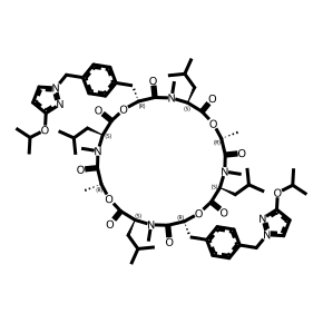 CC(C)C[C@H]1C(=O)O[C@H](Cc2ccc(Cn3ccc(OC(C)C)n3)cc2)C(=O)N(C)[C@@H](CC(C)C)C(=O)O[C@H](C)C(=O)N(C)[C@@H](CC(C)C)C(=O)O[C@H](Cc2ccc(Cn3ccc(OC(C)C)n3)cc2)C(=O)N(C)[C@@H](CC(C)C)C(=O)O[C@H](C)C(=O)N1C